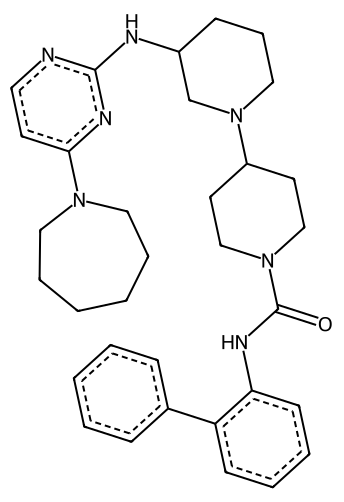 O=C(Nc1ccccc1-c1ccccc1)N1CCC(N2CCCC(Nc3nccc(N4CCCCCC4)n3)C2)CC1